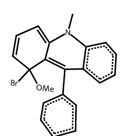 COC1(Br)C=CC=C2C1=C(c1ccccc1)c1ccccc1N2C